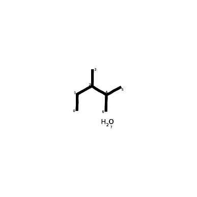 CCC(C)C(C)C.O